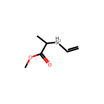 C=C[SiH2]C(C)C(=O)OC